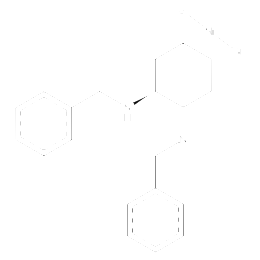 [Br][Ni][Br].c1ccc(CN[C@H]2CCCC[C@@H]2NCc2ccccc2)cc1